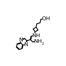 NC/C(=C\NC1CC(CCCO)C1)c1cnc2ccccc2n1